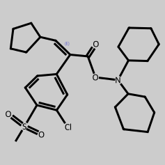 CS(=O)(=O)c1ccc(/C(=C\C2CCCC2)C(=O)ON(C2CCCCC2)C2CCCCC2)cc1Cl